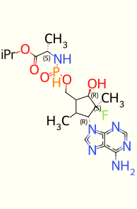 CC(C)OC(=O)[C@H](C)N[PH](=O)OCC1C(C)[C@@H](n2cnc3c(N)ncnc32)[C@](C)(F)[C@@H]1O